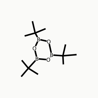 CC(C)(C)B1OB(C(C)(C)C)OB(C(C)(C)C)O1